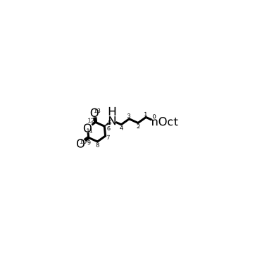 CCCCCCCCCCCCN[C@H]1CCC(=O)OC1=O